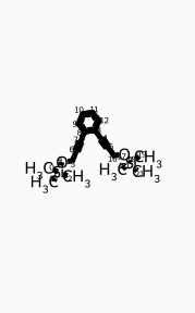 C[Si](C)(C)OCC#Cc1ccccc1C#CCO[Si](C)(C)C